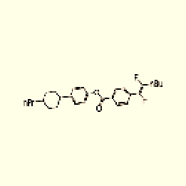 CCCC/C(F)=C(\F)c1ccc(C(=O)Oc2ccc(C3CCC(CCC)CC3)cc2)cc1